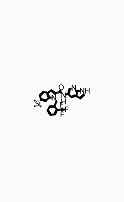 C[Si](C)(C)c1ccc2cc(C(=O)Nc3cnc4[nH]ccc4c3)n(Cc3ccccc3C(F)(F)F)c2c1